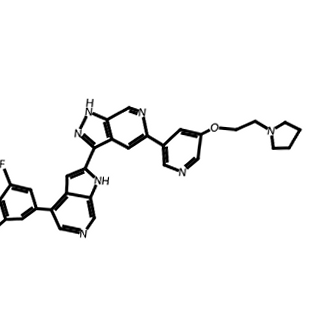 Cc1cc(F)cc(-c2cncc3[nH]c(-c4n[nH]c5cnc(-c6cncc(OCCN7CCCC7)c6)cc45)cc23)c1